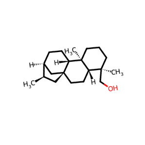 C[C@@H]1C[C@]23CC[C@H]4[C@](C)(CO)CCC[C@]4(C)[C@H]2CC[C@H]1C3